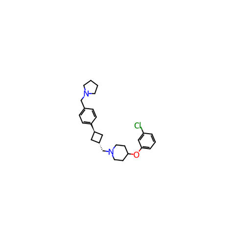 Clc1cccc(OC2CCN(C[C@H]3C[C@H](c4ccc(CN5CCCC5)cc4)C3)CC2)c1